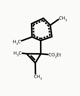 CCOC(=O)C1(c2cc(C)ccc2C)C(C)=C1C